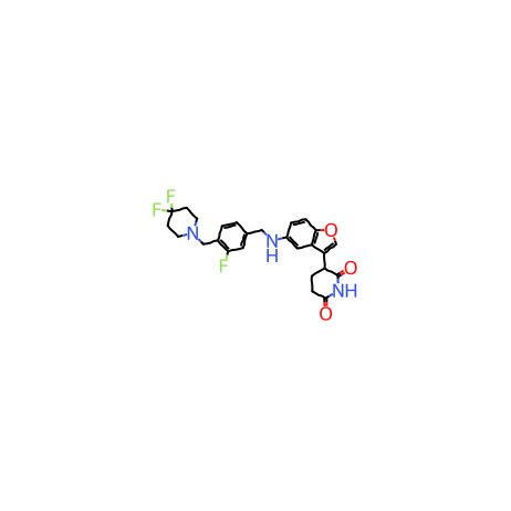 O=C1CCC(c2coc3ccc(NCc4ccc(CN5CCC(F)(F)CC5)c(F)c4)cc23)C(=O)N1